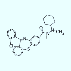 CN(NC(=O)c1ccc2c(c1)N=C(c1ccccc1Cl)c1ccccc1S2)C1CCCCC1